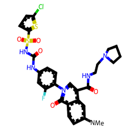 CNc1ccc2c(=O)n(-c3ccc(NC(=O)NS(=O)(=O)c4ccc(Cl)s4)cc3F)cc(C(=O)NCCN3CCCC3)c2c1